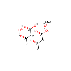 CC(=O)CC(=O)[O-].CC(=O)CC(=O)[O-].[Mo+6].[O-2].[O-2]